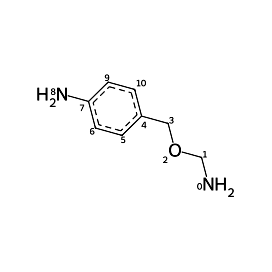 NCOCc1ccc(N)cc1